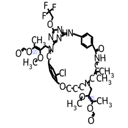 CO/C(CN1CCCOc2ccc(cc2Cl)CN(C/C(OC)=C(\C)OC=O)c2nc(nc(OCC(F)(F)F)n2)Nc2ccc(cc2)C(=O)NCC(C)(C)C1)=C(/C)OC=O